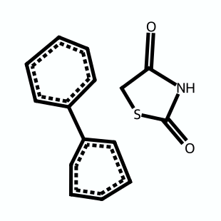 O=C1CSC(=O)N1.c1ccc(-c2ccccc2)cc1